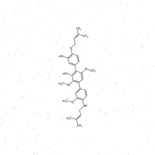 COc1cc(-c2cc(OC)c(-c3ccc(OCC=C(C)C)c(O)c3)c(O)c2OC)ccc1NCC=C(C)C